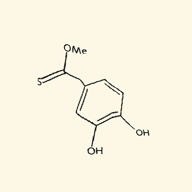 COC(=S)c1ccc(O)c(O)c1